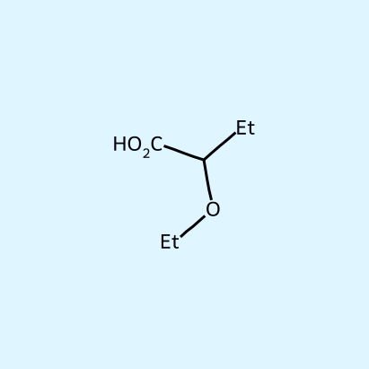 [CH2]CC(OCC)C(=O)O